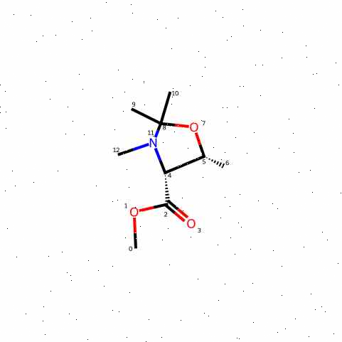 COC(=O)[C@H]1[C@@H](C)OC(C)(C)N1C